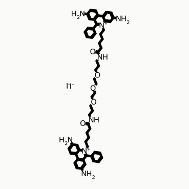 Nc1ccc2c(c1)c(-c1ccccc1)[n+](CCCCCC(=O)NCCCOCCOCCOCCCNC(=O)CCCCC[n+]1c(-c3ccccc3)c3cc(N)ccc3c3ccc(N)cc31)c1cc(N)ccc21.[I-].[I-]